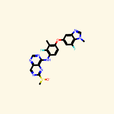 Cc1c(Oc2cc(F)c3c(c2)ncn3C)ccc(Nc2ncnc3cnc([S+](C)[O-])nc23)c1F